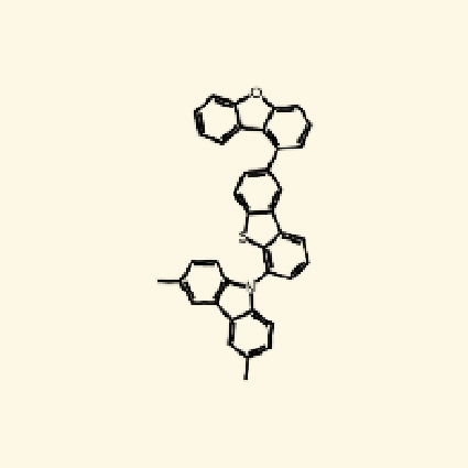 Cc1ccc2c(c1)c1cc(C)ccc1n2-c1cccc2c1sc1ccc(-c3cccc4oc5ccccc5c34)cc12